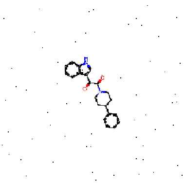 O=C(C(=O)N1CCC(c2ccccc2)CC1)c1c[nH]c2ccccc12